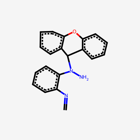 C=Nc1ccccc1N(N)C1c2ccccc2Oc2ccccc21